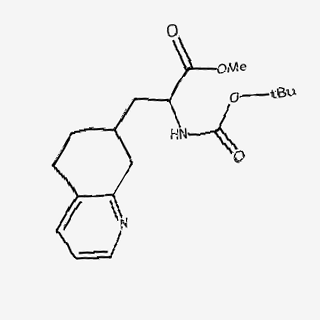 COC(=O)C(CC1CCc2cccnc2C1)NC(=O)OC(C)(C)C